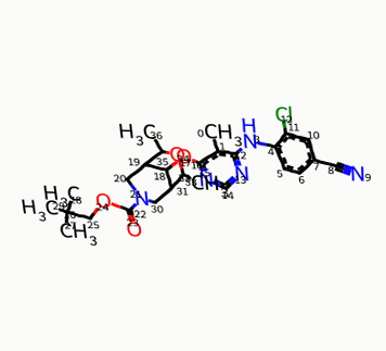 Cc1c(Nc2ccc(C#N)cc2Cl)ncnc1OC1C2CN(C(=O)OCC(C)(C)C)CC1C(C)OC2C